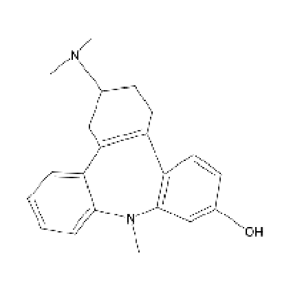 CN1c2cc(O)ccc2C2=C(CC(N(C)C)CC2)c2ccccc21